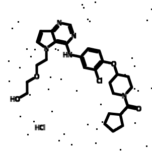 Cl.O=C(C1CCCC1)N1CCC(Oc2ccc(Nc3ncnc4ccn(CCOCCO)c34)cc2Cl)CC1